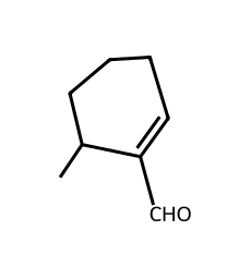 CC1CCCC=C1C=O